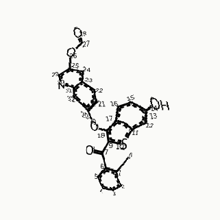 Cc1ccccc1C(=O)c1sc2cc(O)ccc2c1Oc1ccc2cc(OC=O)cnc2c1